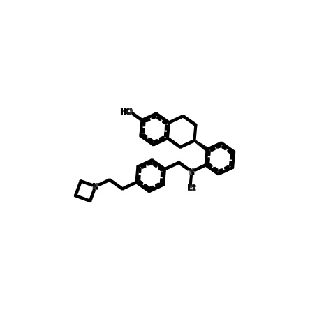 CCN(Cc1ccc(CCN2CCC2)cc1)c1ccccc1[C@@H]1CCc2cc(O)ccc2C1